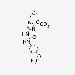 O=C(Nc1ccc(OC(F)(F)F)cc1)Nc1cn(CC2CC2)c(OC(=O)O)n1